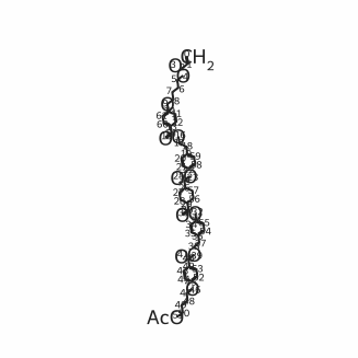 C=CC(=O)OCCCCOc1ccc(C(=O)OCCc2ccc(OC(=O)C3CCC(C(=O)Oc4ccc(CCOC(=O)c5ccc(OCCCCOC(C)=O)cc5)cc4)CC3)cc2)cc1